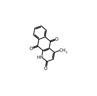 Cc1cc(=O)[nH]c2c1C(=O)c1ccccc1C2=O